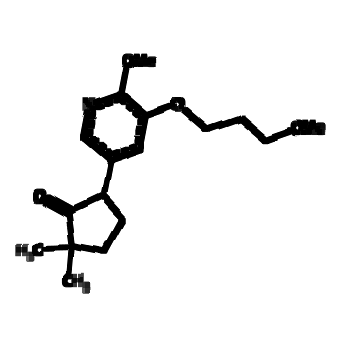 COCCCOc1cc(C2CCC(C)(C)C2=O)cnc1OC